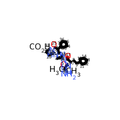 CC(C)(N)C(=O)N[C@H](CCc1ccccc1)C(=O)Nc1c[nH]c(C(C(=O)N2CCCC2C(=O)O)c2ccccc2)n1